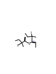 C=C(S/C(=C\C)C(C)(I)CC)C(C)(I)CC